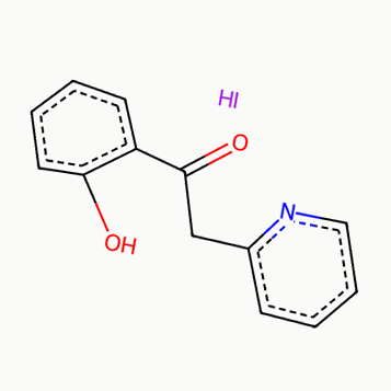 I.O=C(Cc1ccccn1)c1ccccc1O